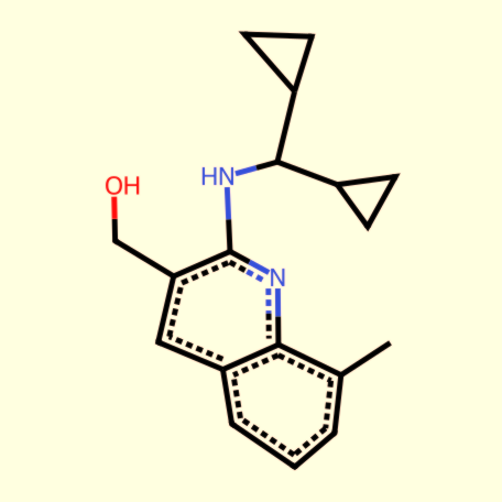 Cc1cccc2cc(CO)c(NC(C3CC3)C3CC3)nc12